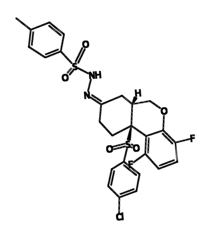 Cc1ccc(S(=O)(=O)N/N=C2/CC[C@@]3(S(=O)(=O)c4ccc(Cl)cc4)c4c(F)ccc(F)c4OC[C@H]3C2)cc1